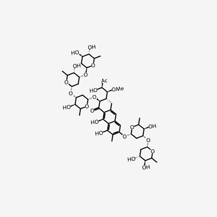 CO[C@@H]([C@@H]1Cc2cc3cc(O[C@H]4C[C@@H](O[C@H]5C[C@@H](O)[C@H](O)C(C)O5)[C@H](O)C(C)O4)c(C)c(O)c3c(O)c2C(=O)[C@H]1O[C@H]1C[C@@H](O[C@H]2C[C@@H](O[C@H]3C[C@@H](O)[C@H](O)C(C)O3)[C@@H](O)C(C)O2)[C@H](O)C(C)O1)[C@@H](O)C(C)=O